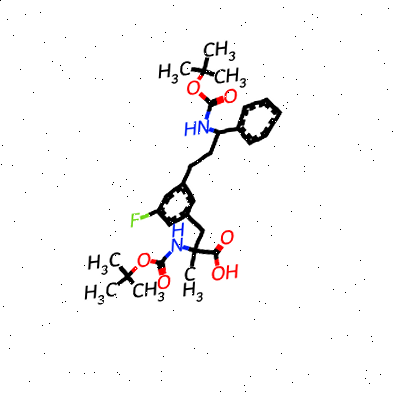 CC(C)(C)OC(=O)NC(CCc1cc(F)cc(CC(C)(NC(=O)OC(C)(C)C)C(=O)O)c1)c1ccccc1